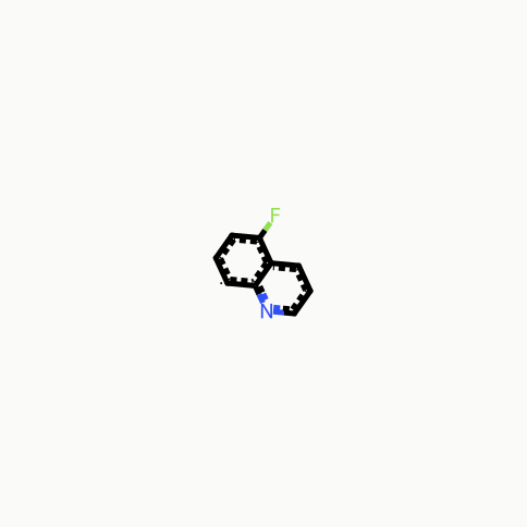 Fc1cc[c]c2ncccc12